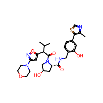 Cc1ncsc1-c1ccc(CNC(=O)[C@@H]2C[C@@H](O)CN2C(=O)C(c2cc(N3CCOCC3)no2)C(C)C)c(O)c1